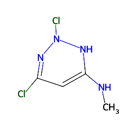 CNC1=CC(Cl)=NN(Cl)N1